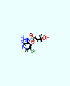 CC(C)(O)CCS(=O)(=O)Nc1cc(Br)cnc1N